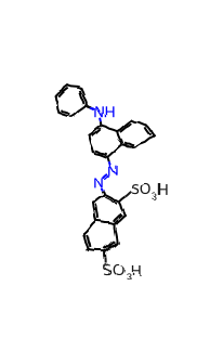 O=S(=O)(O)c1ccc2cc(N=Nc3ccc(Nc4ccccc4)c4ccccc34)c(S(=O)(=O)O)cc2c1